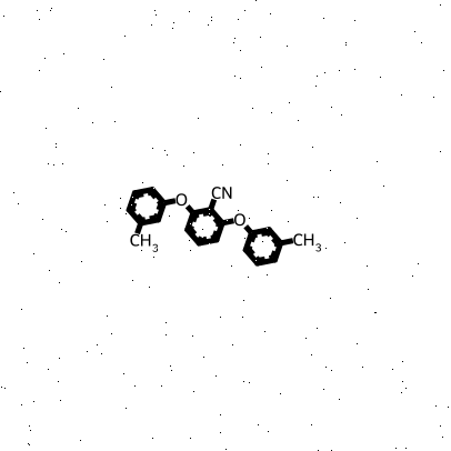 Cc1cccc(Oc2cccc(Oc3cccc(C)c3)c2C#N)c1